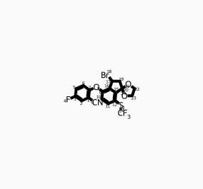 N#Cc1cc(F)ccc1Oc1ccc(SC(F)(F)F)c2c1C(Br)CC21OCCO1